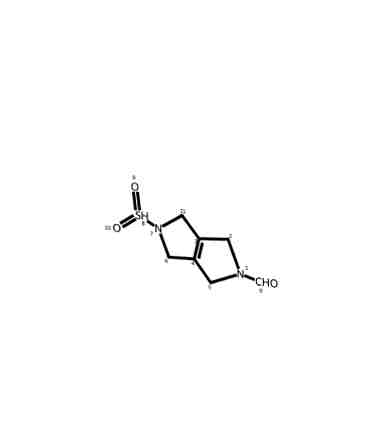 O=CN1CC2=C(C1)CN([SH](=O)=O)C2